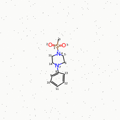 [CH2]S(=O)(=O)N1CCN(c2ccccc2)CC1